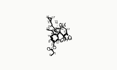 CCC(=O)Oc1ccc(CC)c2c1O[C@H]1C(=O)CC[C@@]3(O)[C@@H](C)N(CC4CC4)CC[C@]213